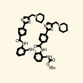 CC(C)(C)OC(=O)Nc1ccccc1NC(=O)c1ccc(-c2ncc(CN3CCCCC3)s2)cc1.Nc1ccccc1NC(=O)c1ccc(-c2ncc(CN3CCCCC3)s2)cc1